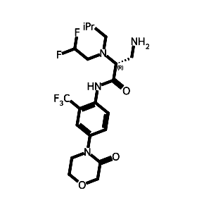 CC(C)CN(CC(F)F)[C@H](CN)C(=O)Nc1ccc(N2CCOCC2=O)cc1C(F)(F)F